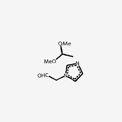 COC(C)OC.O=CCn1ccnc1